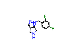 Fc1ccc(Cn2ncc3c2CNC3)c(F)c1